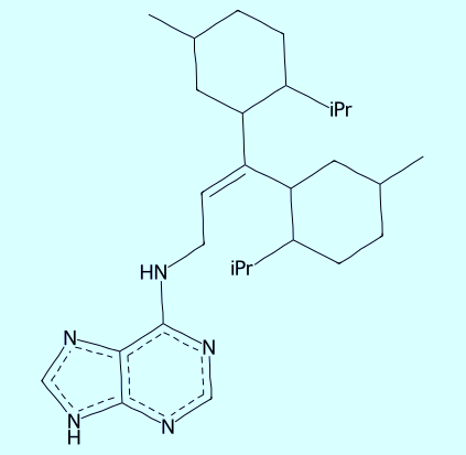 CC1CCC(C(C)C)C(C(=CCNc2ncnc3[nH]cnc23)C2CC(C)CCC2C(C)C)C1